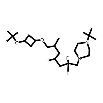 CC(COC1CC(OC(C)(C)C)C1)CC(C)CC(F)(F)CN1CCN(C(C)(C)C)CC1